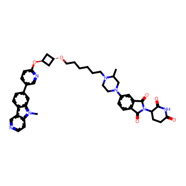 CC1CN(c2ccc3c(c2)C(=O)N(C2CCC(=O)NC2=O)C3=O)CCN1CCCCCCO[C@H]1C[C@H](Oc2ccc(-c3ccc4c5cnccc5n(C)c4c3)cn2)C1